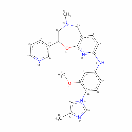 COc1cc(Nc2ccc3c(n2)OC(c2cccnc2)CN(C)C3)ccc1-n1cnc(C)c1